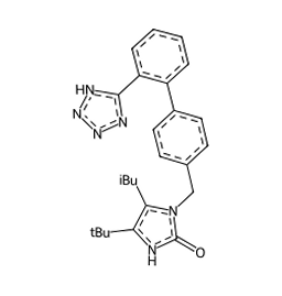 CCC(C)c1c(C(C)(C)C)[nH]c(=O)n1Cc1ccc(-c2ccccc2-c2nnn[nH]2)cc1